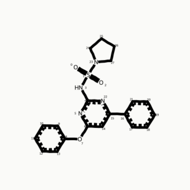 O=S(=O)(Nc1nc(Oc2ccccc2)cc(-c2ccccc2)n1)N1CCCC1